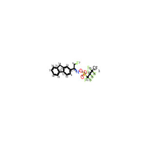 O=S(=O)(O/N=C(\CF)c1ccc2c(c1)Cc1ccccc1-2)C(F)(F)C(F)(F)C(F)(F)C(F)(F)F